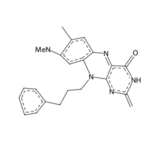 C=c1nc2c(c(=O)[nH]1)=Nc1cc(C)c(NC)cc1N2CCCc1ccccc1